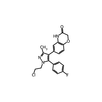 Cc1nn(CCCl)c(-c2ccc(F)cc2)c1-c1ccc2c(c1)NC(=O)CO2